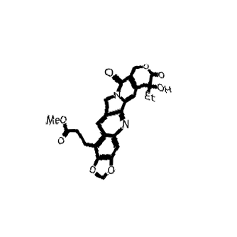 CCC1(O)C(=O)OCc2c1cc1n(c2=O)Cc2cc3c(CCC(=O)OC)c4c(cc3nc2-1)OCO4